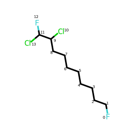 FCCCCCCCCC(Cl)C(F)Cl